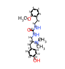 COc1ccccc1CCNC(=O)NC[C@H](Cc1ccc(O)cc1)N(C)C